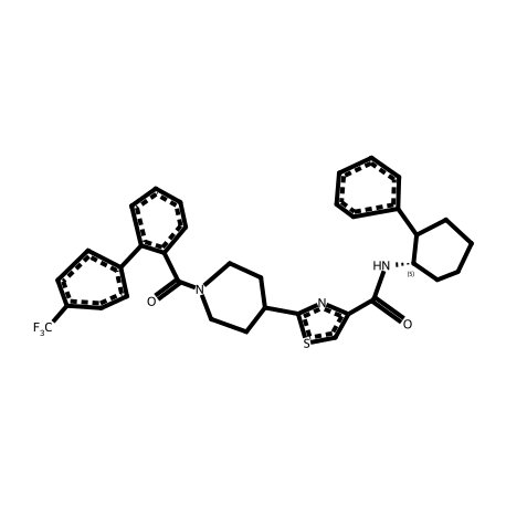 O=C(N[C@H]1CCCCC1c1ccccc1)c1csc(C2CCN(C(=O)c3ccccc3-c3ccc(C(F)(F)F)cc3)CC2)n1